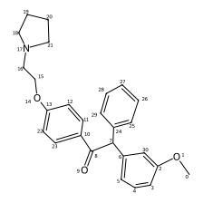 COc1cccc(C(C(=O)c2ccc(OCCN3CCCC3)cc2)c2ccccc2)c1